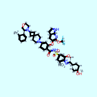 CC(C)c1ccccc1[C@H]1COCCN1C1CC2(CCN(c3ccc(C(=O)NS(=O)(=O)c4cc5c(c([N+](=O)[O-])c4)N[C@@H]([C@H]4CC[C@](C)(O)CC4)CO5)c(Oc4cc5cc[nH]c5nc4OC(F)F)c3)CC2)C1